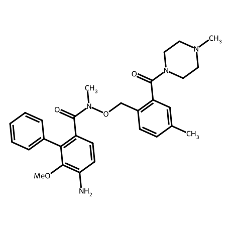 COc1c(N)ccc(C(=O)N(C)OCc2ccc(C)cc2C(=O)N2CCN(C)CC2)c1-c1ccccc1